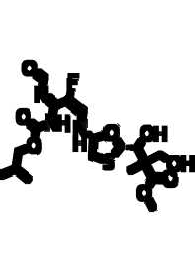 COC(=O)C(C)(CO)C(O)[C@H]1O[C@@H](N/C=C(F)\C(=N/C=O)NC(=O)OCC(C)C)CS1